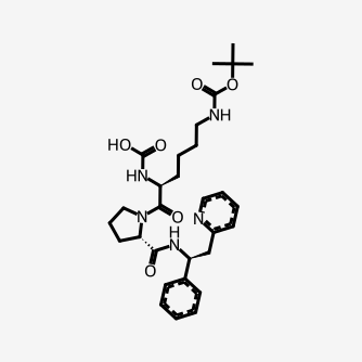 CC(C)(C)OC(=O)NCCCC[C@H](NC(=O)O)C(=O)N1CCC[C@H]1C(=O)N[C@@H](Cc1ccccn1)c1ccccc1